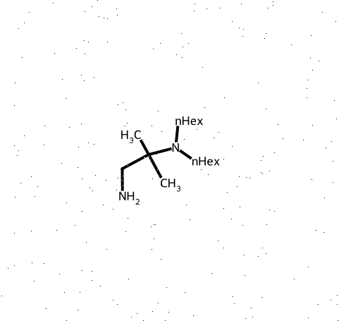 CCCCCCN(CCCCCC)C(C)(C)CN